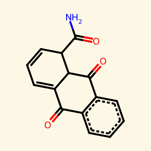 NC(=O)C1C=CC=C2C(=O)c3ccccc3C(=O)C21